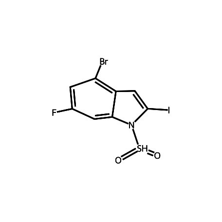 O=[SH](=O)n1c(I)cc2c(Br)cc(F)cc21